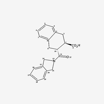 O=C(O)[C@@H]1Cc2ccccc2C[C@H]1C(=O)N1Cc2ccccc2C1